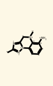 Cc1nc2n(n1)-c1cccc(N)c1N(C)C2